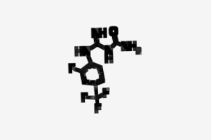 N=C(NC(N)=O)Nc1ccc(C(F)(F)F)cc1F